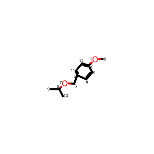 COc1ccc(CO[C](C)C)cc1